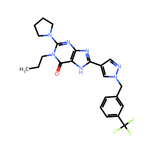 CCCn1c(N2CCCC2)nc2nc(-c3cnn(Cc4cccc(C(F)(F)F)c4)c3)[nH]c2c1=O